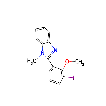 COc1c(I)cccc1-c1nc2ccccc2n1C